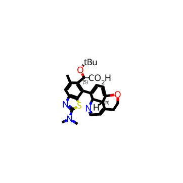 Cc1cc2nc(N(C)C)sc2c(C2=CC=C3OCCC4=CC=NC2[C@@H]43)c1[C@H](OC(C)(C)C)C(=O)O